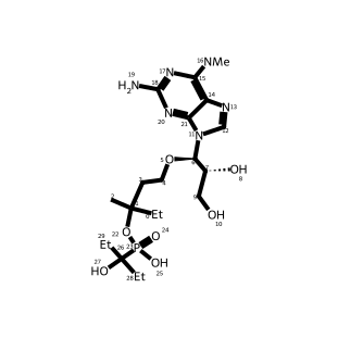 CCC(C)(CCO[C@H]([C@H](O)CO)n1cnc2c(NC)nc(N)nc21)OP(=O)(O)C(O)(CC)CC